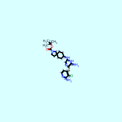 CC(C)(C)OC(=O)N1CCC2(CCC(NC3C=NC(Sc4ccnc(N)c4Cl)=C(N)N3)CC2)C1